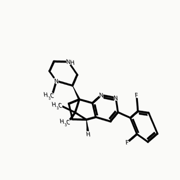 CN1CCNC[C@H]1C12CC[C@@H](c3cc(-c4c(F)cccc4F)nnc31)C2(C)C